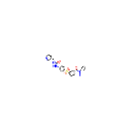 O=C(NCc1cccnc1)Nc1ccc(S(=O)(=O)c2cccc(C(=O)NC3CCCC3)c2)cc1